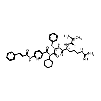 C[C@H](N)C(=O)N[C@@H](CCCNC(=N)N)C(=O)N[C@@H](Cc1ccccc1)C(=O)N(C(=O)c1ccc(NC(=O)C=Cc2ccccc2)nc1)C1CCCCC1